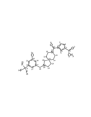 CC(=O)c1ccn(C(=O)N2CCC3(CCN(Cc4cc(Cl)cc(C(F)(F)F)c4)C3)CC2)n1